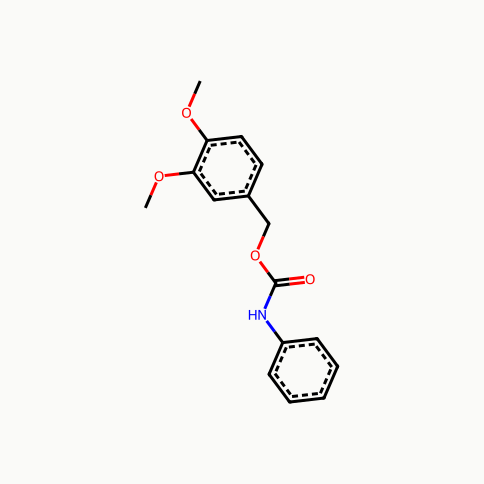 COc1ccc(COC(=O)Nc2ccccc2)cc1OC